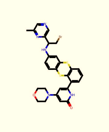 Cc1cncc(C(CBr)Nc2ccc3c(c2)Sc2cccc(-c4cc(N5CCOCC5)cc(=O)[nH]4)c2S3)n1